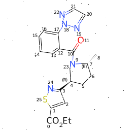 CCOC(=O)c1cc([C@@H]2CC[C@@H](C)N(C(=O)c3ccccc3-n3nccn3)C2)ns1